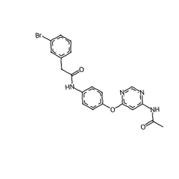 CC(=O)Nc1cc(Oc2ccc(NC(=O)Cc3cccc(Br)c3)cc2)ncn1